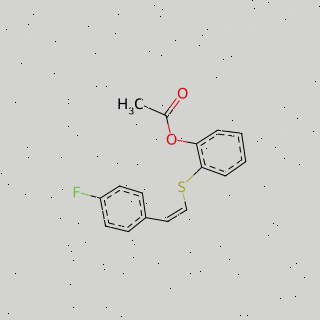 CC(=O)Oc1ccccc1S/C=C\c1ccc(F)cc1